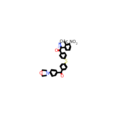 CC(=O)O/N=C(/C(=O)c1ccc(Sc2ccc(C(=O)c3ccc(N4CCOCC4)cc3)cc2)cc1)c1cccc([N+](=O)[O-])c1C